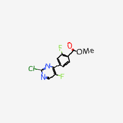 COC(=O)c1ccc(-c2nc(Cl)ncc2F)cc1F